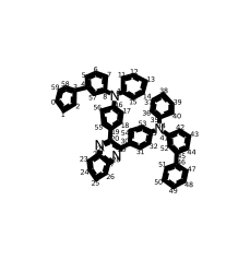 c1ccc(-c2cccc(N(c3ccccc3)c3ccc(-c4nc5ccccc5nc4-c4ccc(N(c5ccccc5)c5cccc(-c6ccccc6)c5)cc4)cc3)c2)cc1